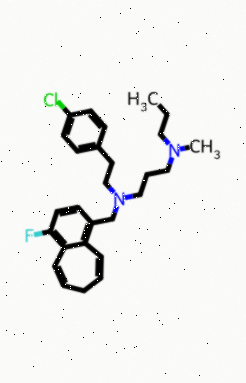 CCCN(C)CCCN(CCc1ccc(Cl)cc1)Cc1ccc(F)c2c1C=CCC=C2